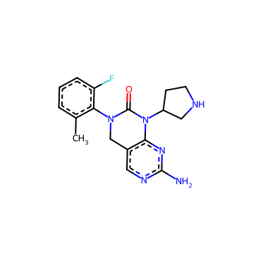 Cc1cccc(F)c1N1Cc2cnc(N)nc2N(C2CCNC2)C1=O